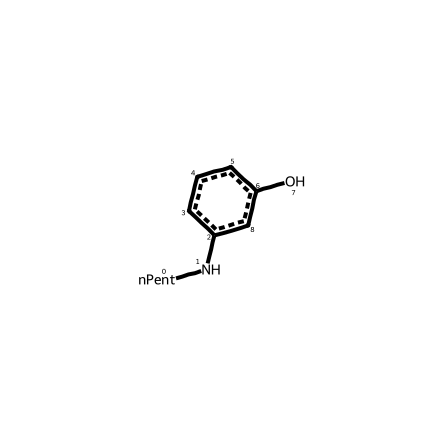 CCCCCNc1cccc(O)c1